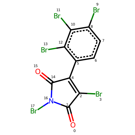 O=C1C(Br)=C(c2ccc(Br)c(Br)c2Br)C(=O)N1Br